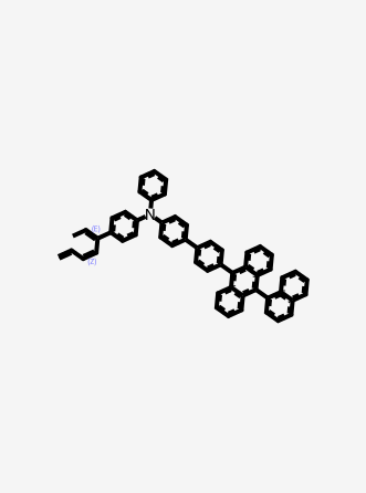 C=C/C=C\C(=C/C)c1ccc(N(c2ccccc2)c2ccc(-c3ccc(-c4c5ccccc5c(-c5cccc6ccccc56)c5ccccc45)cc3)cc2)cc1